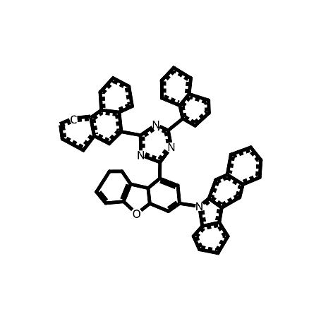 C1=CC2=C(CC1)C1C(c3nc(-c4cccc5ccccc45)nc(-c4cc5ccccc5c5ccccc45)n3)=CC(n3c4ccccc4c4cc5ccccc5cc43)=CC1O2